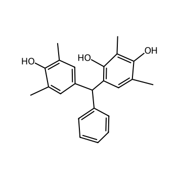 Cc1cc(C(c2ccccc2)c2cc(C)c(O)c(C)c2O)cc(C)c1O